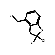 ClCc1cccc2c1OC(Cl)(Cl)O2